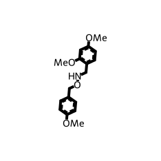 COc1ccc(CONCc2ccc(OC)cc2OC)cc1